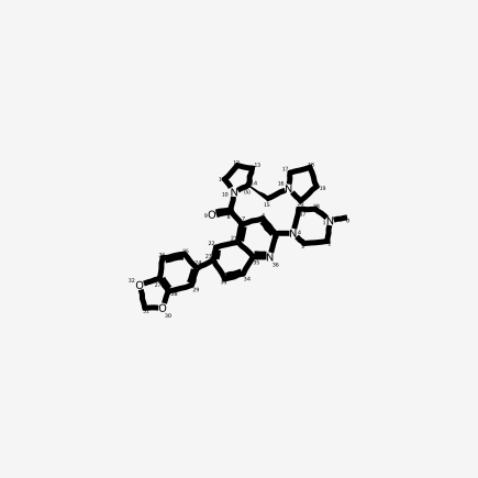 CN1CCN(c2cc(C(=O)N3CCC[C@H]3CN3CCCC3)c3cc(-c4ccc5c(c4)OCO5)ccc3n2)CC1